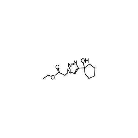 CCOC(=O)Cn1cc(C2(O)CCCCC2)nn1